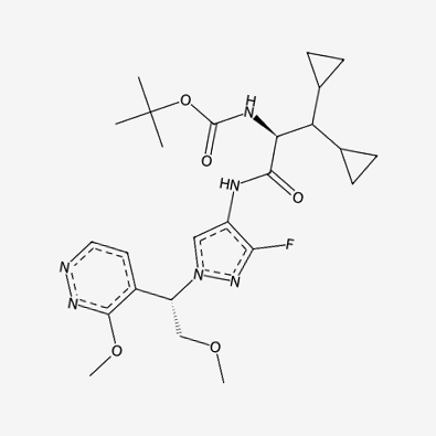 COC[C@H](c1ccnnc1OC)n1cc(NC(=O)[C@@H](NC(=O)OC(C)(C)C)C(C2CC2)C2CC2)c(F)n1